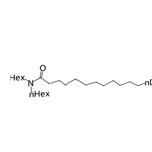 CCCCCCCCCCCCCCCCCCCCCC(=O)N(CCCCCC)CCCCCC